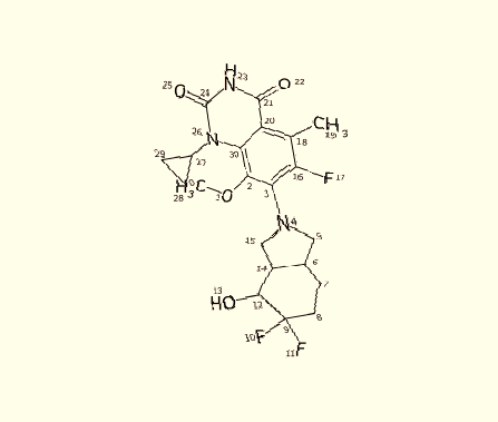 COc1c(N2CC3CCC(F)(F)C(O)C3C2)c(F)c(C)c2c(=O)[nH]c(=O)n(C3CC3)c12